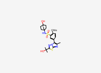 COc1ccc(-c2c(C)nc3sc(C(C)(C)O)nn23)cc1S(=O)(=O)NC12CCC(O)(CC1)CC2